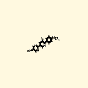 CCCc1cnc(-c2cnc(-c3ccc(OC(F)(F)F)cc3)c(F)c2)nc1